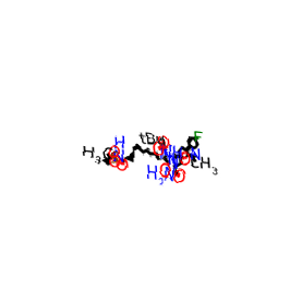 Cc1nc2cc(F)ccc2c2c1O[C@]1(CC2)C[C@@H](C(N)=O)N(C(=O)[C@H](CCCCC/C=C\[C@@H]2C[C@@H]2C(=O)NS(=O)(=O)C2(C)CC2)NC(=O)OC(C)(C)C)C1